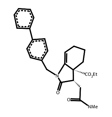 CCOC(=O)[C@@]12CCCC=C1N(Cc1ccc(-c3ccccc3)cc1)C(=O)[C@H]2CC(=O)NC